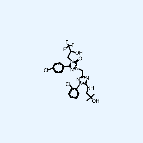 CC(C)(O)CNc1nc(Cn2nc(-c3ccc(Cl)cc3)n(CC(O)C(F)(F)F)c2=O)nn1-c1ccccc1Cl